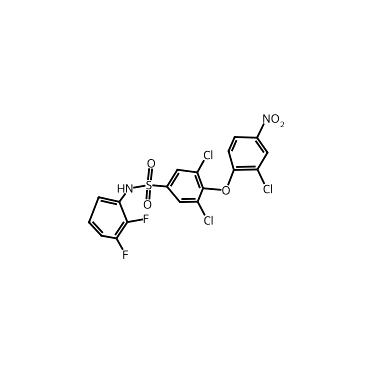 O=[N+]([O-])c1ccc(Oc2c(Cl)cc(S(=O)(=O)Nc3cccc(F)c3F)cc2Cl)c(Cl)c1